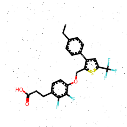 CCc1ccc(-c2cc(C(F)(F)F)sc2COc2ccc(CCC(=O)O)c(F)c2F)cc1